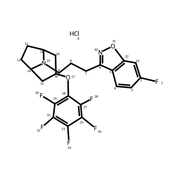 Cl.Fc1ccc2c(CCCN3C4CCC3CC(Oc3c(F)c(F)c(F)c(F)c3F)C4)noc2c1